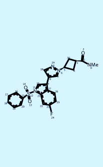 CNC(=O)[C@H]1C[C@@H](n2cc(-c3cn(S(=O)(=O)c4ccccc4)c4cc(F)ccc34)cn2)C1